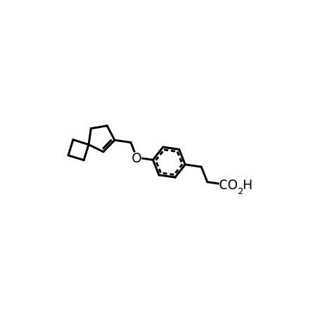 O=C(O)CCc1ccc(OCC2=CC3(CCC3)CC2)cc1